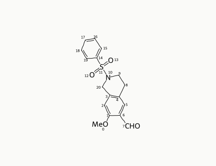 COc1cc2c(cc1C=O)CCN(S(=O)(=O)c1ccccc1)C2